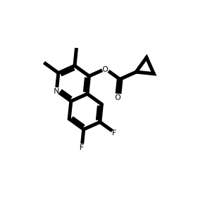 Cc1nc2cc(F)c(F)cc2c(OC(=O)C2CC2)c1C